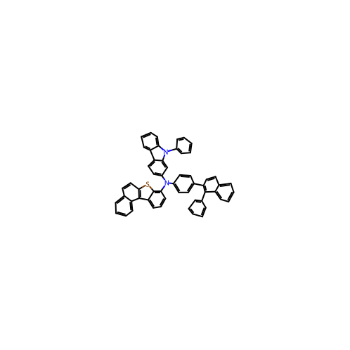 c1ccc(-c2c(-c3ccc(N(c4ccc5c6ccccc6n(-c6ccccc6)c5c4)c4cccc5c4sc4ccc6ccccc6c45)cc3)ccc3ccccc23)cc1